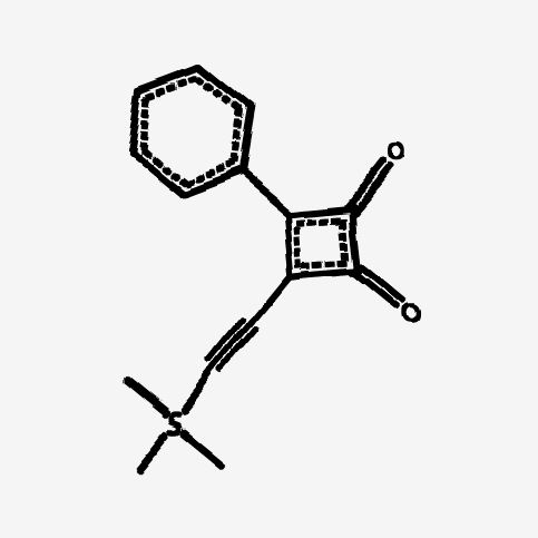 CS(C)(C)C#Cc1c(-c2ccccc2)c(=O)c1=O